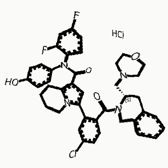 Cl.O=C(c1cc(-c2cc(Cl)ccc2C(=O)N2Cc3ccccc3C[C@H]2CN2CCOCC2)n2c1CCCC2)N(c1ccc(O)cc1)c1ccc(F)cc1F